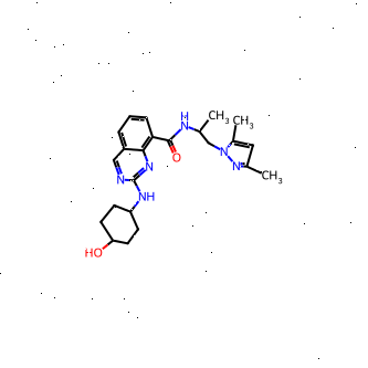 Cc1cc(C)n(CC(C)NC(=O)c2cccc3cnc(NC4CCC(O)CC4)nc23)n1